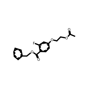 CC(=O)OCCOc1ccc(C(=O)OCc2ccccc2)c(F)c1